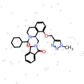 Cn1cc(COc2cccc3c2[C@@H](CN2C(=O)c4ccccc4C2=O)N(C(=O)C2CCCCC2)CC3)nn1